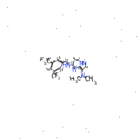 CN(C)c1cnn2ccc(NCc3cc(C(F)(F)F)cc(C(F)(F)F)c3)nc12